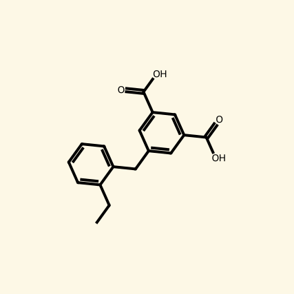 CCc1ccccc1Cc1cc(C(=O)O)cc(C(=O)O)c1